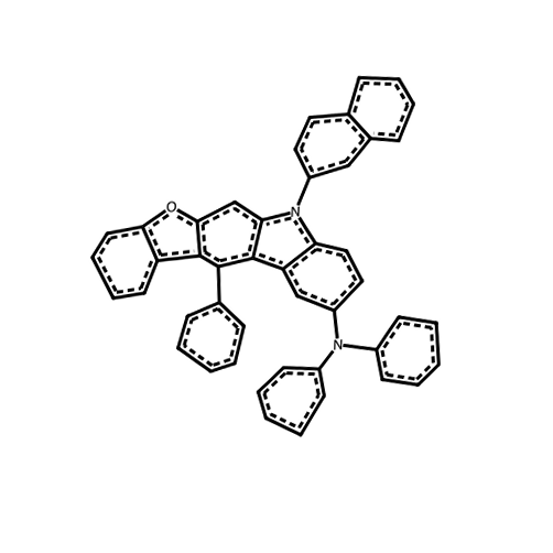 c1ccc(-c2c3c(cc4c2c2cc(N(c5ccccc5)c5ccccc5)ccc2n4-c2ccc4ccccc4c2)oc2ccccc23)cc1